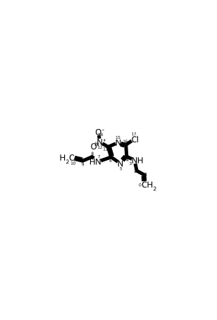 C=CCNc1nc(NCC=C)c([N+](=O)[O-])nc1Cl